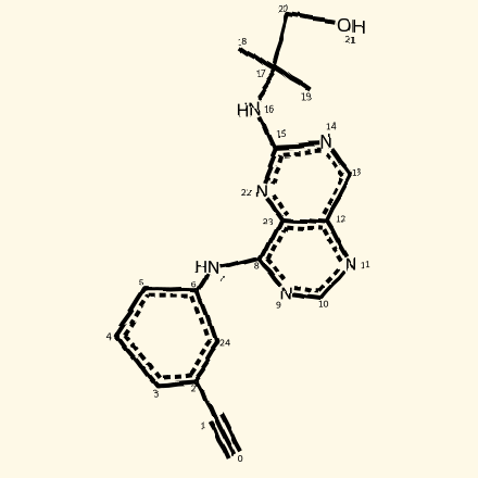 C#Cc1cccc(Nc2ncnc3cnc(NC(C)(C)CO)nc23)c1